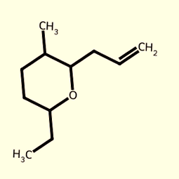 C=CCC1OC(CC)CCC1C